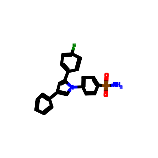 NS(=O)(=O)c1ccc(-n2cc(-c3ccccc3)cc2-c2ccc(F)cc2)cc1